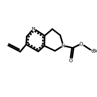 C=Cc1cnc2c(c1)CN(C(=O)OC(C)(C)C)CC2